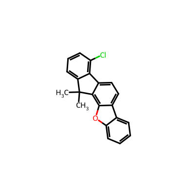 CC1(C)c2cccc(Cl)c2-c2ccc3c(oc4ccccc43)c21